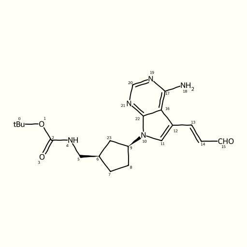 CC(C)(C)OC(=O)NC[C@@H]1CC[C@H](n2cc(/C=C/C=O)c3c(N)ncnc32)C1